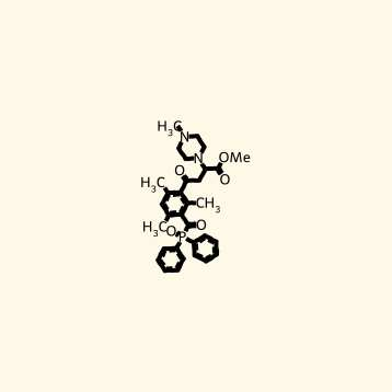 COC(=O)C(CC(=O)c1c(C)cc(C)c(C(=O)P(=O)(c2ccccc2)c2ccccc2)c1C)N1CCN(C)CC1